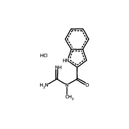 CN(C(=N)N)C(=O)c1cc2ccccc2[nH]1.Cl